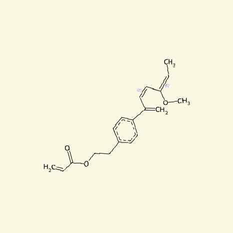 C=CC(=O)OCCc1ccc(C(=C)/C=C\C(=C/C)OC)cc1